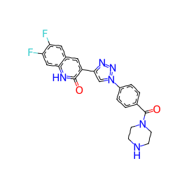 O=C(c1ccc(-n2cc(-c3cc4cc(F)c(F)cc4[nH]c3=O)nn2)cc1)N1CCNCC1